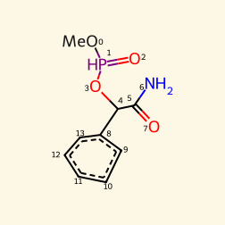 CO[PH](=O)OC(C(N)=O)c1ccccc1